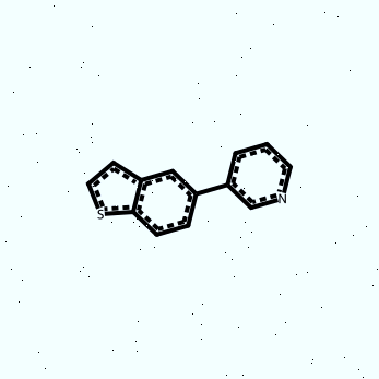 c1cncc(-c2ccc3sccc3c2)c1